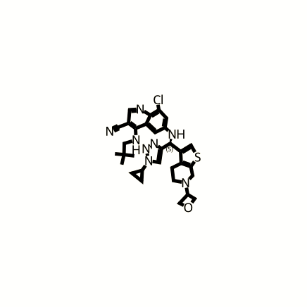 CC(C)(C)CNc1c(C#N)cnc2c(Cl)cc(N[C@H](c3cn(C4CC4)nn3)c3csc4c3CCN(C3COC3)C4)cc12